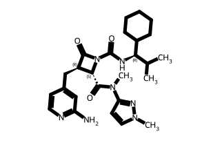 CC(C)[C@@H](NC(=O)N1C(=O)[C@H](Cc2ccnc(N)c2)[C@H]1C(=O)N(C)c1ccn(C)n1)C1CCCCC1